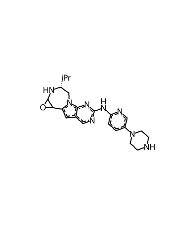 CC(C)[C@@H]1Cn2c(cc3cnc(Nc4ccc(N5CCNCC5)cn4)nc32)C2OC2N1